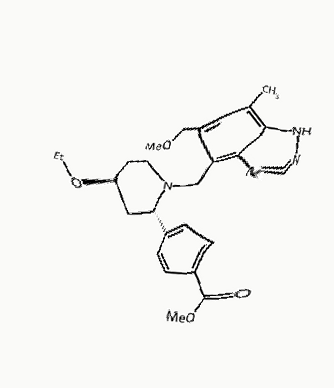 CCO[C@H]1CCN(Cc2c(OC)cc(C)c3[nH]nnc23)[C@H](c2ccc(C(=O)OC)cc2)C1